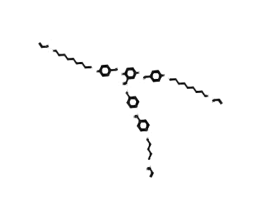 C=CC(=O)OCCCCCCCCCOc1ccc(C(=O)Oc2ccc(OC(=O)c3ccc(OCCCCCCCCCOC(=O)C=C)cc3)c(C(=O)OCc3ccc(OC(=O)c4ccc(OCCCCCOC(=O)C=C)cc4)cc3)c2)cc1